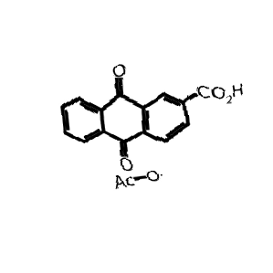 CC([O])=O.O=C(O)c1ccc2c(c1)C(=O)c1ccccc1C2=O